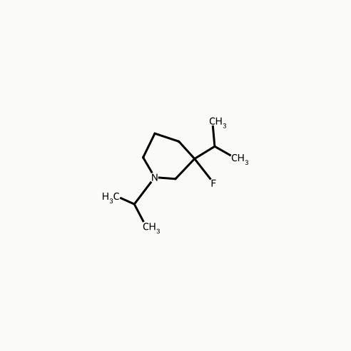 CC(C)N1CCCC(F)(C(C)C)C1